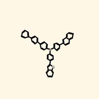 c1ccc(-c2ccc(-c3ccc(N(c4ccc(-c5ccc6ccccc6c5)cc4)c4ccc(-c5cc6ccccc6o5)cc4)cc3)cc2)cc1